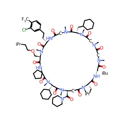 CC[C@H](C)[C@@H]1NC(=O)[C@H](CC(C)C)N(C)C(=O)C[C@@H](C(=O)N2CCCCC2)N(C)C(=O)[C@H](C2CCCCC2)N(C)C(=O)C2(CCCC2)NC(=O)[C@@H](COCCC(C)C)N(C)C(=O)[C@H](CCc2ccc(C(F)(F)F)c(Cl)c2)NC(=O)CN(C)C(=O)[C@H](CC2CCCCC2)N(C)C(=O)CN(C)C(=O)CN(C)C1=O